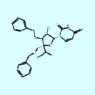 CC(F)[C@]1(COCc2ccccc2)O[C@@H](n2ccc(=O)[nH]c2=O)[C@H](Cl)[C@@H]1OCc1ccccc1